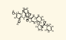 COc1ccc(CN(c2nccs2)S(=O)(=O)c2ccc3c(C4CCCN4C(=O)c4ccccc4)cccc3c2)c(OC)c1